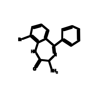 NC1N=C(c2ccccc2)c2cccc(Br)c2NC1=O